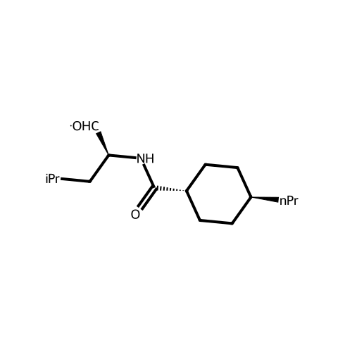 CCC[C@H]1CC[C@H](C(=O)N[C@H]([C]=O)CC(C)C)CC1